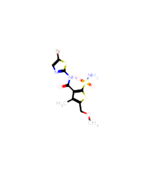 COCc1sc(S(N)(=O)=O)c(C(=O)Nc2ncc(Br)s2)c1C